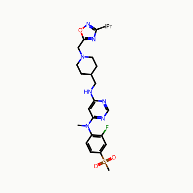 CC(C)c1noc(CN2CCC(CNc3cc(N(C)c4ccc(S(C)(=O)=O)cc4F)ncn3)CC2)n1